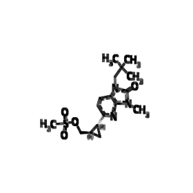 Cn1c(=O)n(CC(C)(C)C)c2ccc([C@@H]3C[C@H]3COS(C)(=O)=O)nc21